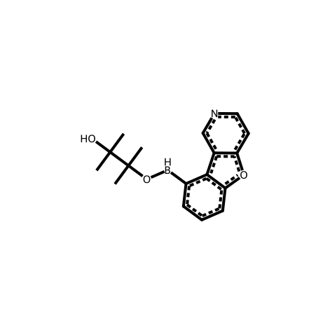 CC(C)(O)C(C)(C)OBc1cccc2oc3ccncc3c12